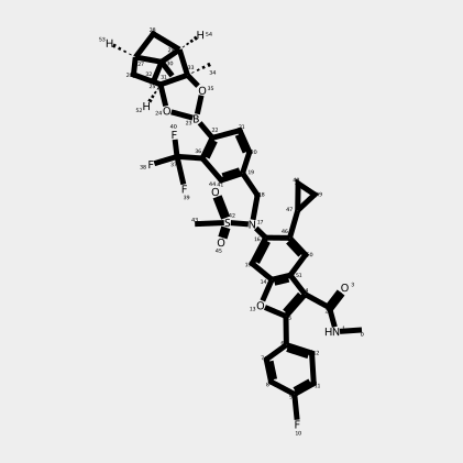 CNC(=O)c1c(-c2ccc(F)cc2)oc2cc(N(Cc3ccc(B4O[C@H]5C[C@H]6C[C@H](C6(C)C)[C@@]5(C)O4)c(C(F)(F)F)c3)S(C)(=O)=O)c(C3CC3)cc12